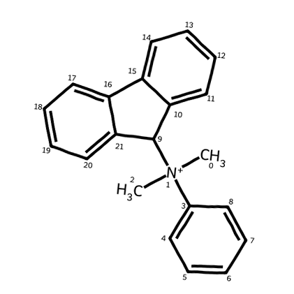 C[N+](C)(c1ccccc1)C1c2ccccc2-c2ccccc21